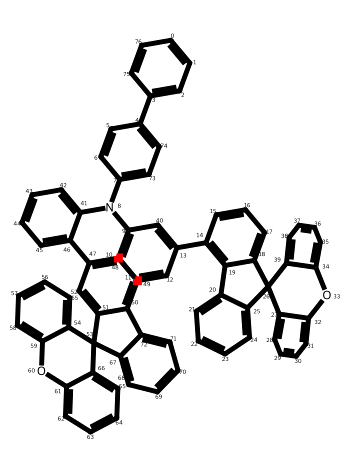 c1ccc(-c2ccc(N(c3cccc(-c4cccc5c4-c4ccccc4C54c5ccccc5Oc5ccccc54)c3)c3ccccc3-c3ccc4c(c3)C3(c5ccccc5Oc5ccccc53)c3ccccc3-4)cc2)cc1